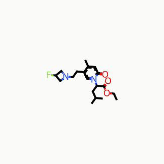 CCOC(=O)C(CC(C)C)n1cc(CCN2CC(F)C2)c(C)cc1=O